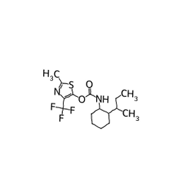 CCC(C)C1CCCCC1NC(=O)Oc1sc(C)nc1C(F)(F)F